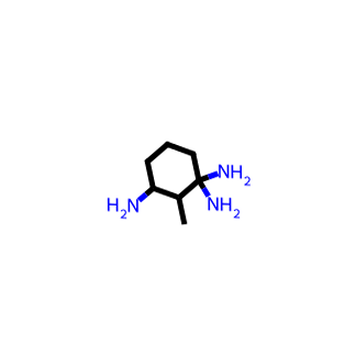 CC1C(N)CCCC1(N)N